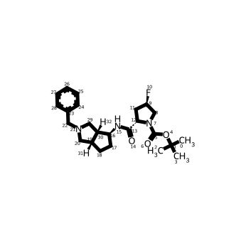 CC(C)(C)OC(=O)N1C[C@H](F)C[C@H]1C(=O)N[C@H]1CC[C@@H]2CN(Cc3ccccc3)C[C@@H]21